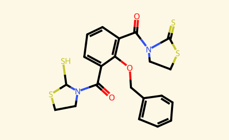 O=C(c1cccc(C(=O)N2CCSC2S)c1OCc1ccccc1)N1CCSC1=S